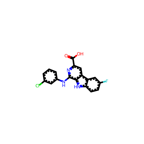 O=C(O)c1cc2c([nH]c3ccc(F)cc32)c(Nc2cccc(Cl)c2)n1